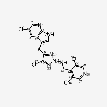 Clc1cnc2[nH]cc(Cc3nn(NCc4c(Cl)cncc4Cl)nc3Cl)c2c1